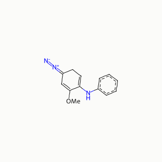 COC1=CC(=[N+]=[N-])CC=C1Nc1ccccc1